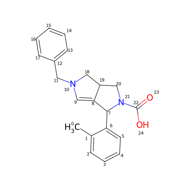 Cc1ccccc1C1C2=CN(Cc3ccccc3)CC2CN1C(=O)O